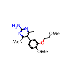 CNc1nc(N)nc(C)c1-c1ccc(OC)c(OCCOC)c1